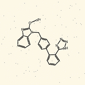 CCCOc1nc2ccccc2n1Cc1ccc(-c2ccccc2-c2nnn[nH]2)cc1